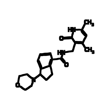 Cc1cc(C)c(CNC(=O)c2cccc3c2CCC3N2CCOCC2)c(=O)[nH]1